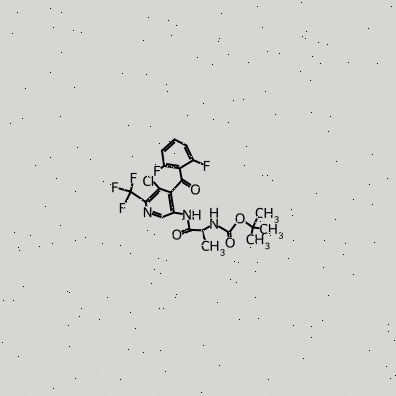 C[C@H](NC(=O)OC(C)(C)C)C(=O)Nc1cnc(C(F)(F)F)c(Cl)c1C(=O)c1c(F)cccc1F